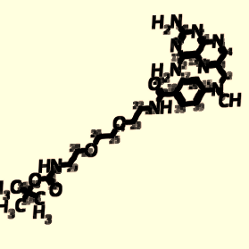 CN(Cc1cnc2nc(N)nc(N)c2n1)c1ccc(C(=O)NCCOCCOCCNC(=O)OC(C)(C)C)cc1